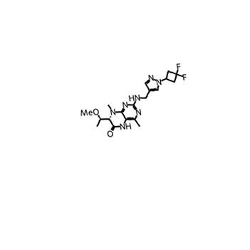 CO[C@H](C)[C@H]1C(=O)Nc2c(C)nc(NCc3cnn(C4CC(F)(F)C4)c3)nc2N1C